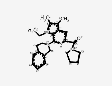 CCn1c(C)c(C)c2cc(C(=O)N3CCCC3)nc(N3CCc4ccccc4C3)c21